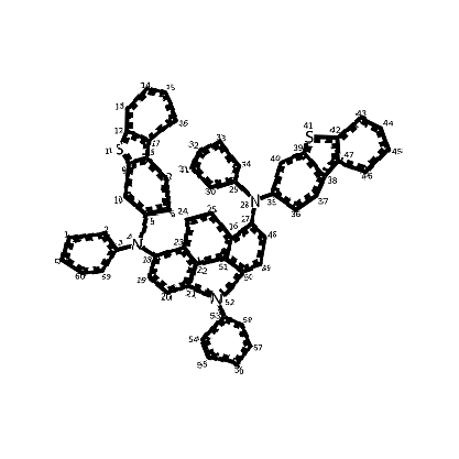 c1ccc(N(c2ccc3c(c2)sc2ccccc23)c2ccc3c4c2ccc2c(N(c5ccccc5)c5ccc6c(c5)sc5ccccc56)ccc(c24)n3-c2ccccc2)cc1